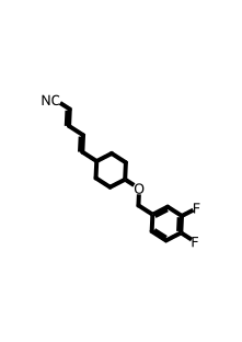 N#CC=CC=CC1CCC(OCc2ccc(F)c(F)c2)CC1